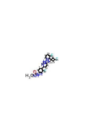 CNC(=O)Nc1ccc(-c2ccc(NC[C@]3(c4ncccc4F)C[C@H](F)C3)nn2)c(F)c1